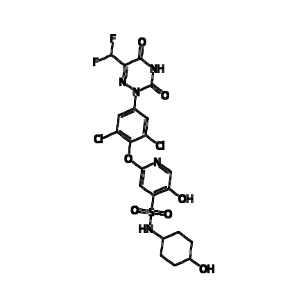 O=c1[nH]c(=O)n(-c2cc(Cl)c(Oc3cc(S(=O)(=O)NC4CCC(O)CC4)c(O)cn3)c(Cl)c2)nc1C(F)F